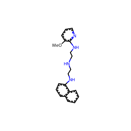 COc1cccnc1NCCNCCNc1cccc2ccccc12